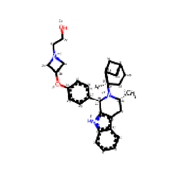 C[C@@H]1Cc2c([nH]c3ccccc23)[C@@H](c2ccc(OC3CN(CCO)C3)cc2)N1[C@@H]1CCC2CC1C2